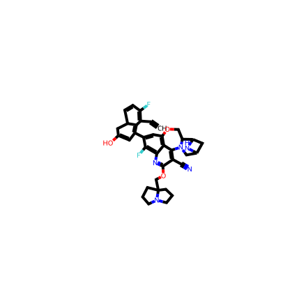 C#CC1=C(F)C=CC2CC(O)=CC(c3cc4c5c(c(C#N)c(OCC67CCCN6CCC7)nc5c3F)N3CC5CC(N5)C3CO4)=C12